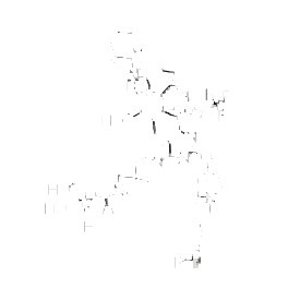 C=Cc1cc2c(N3CCC4(CC3)CN(C(=O)OC(C)(C)C)C4)nc(OC3CCN(CCCOC(F)(F)F)CC3)nc2c(OCC(F)(F)F)c1-c1c(C)ccc2c1cnn2C1CCCCO1